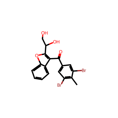 Cc1c(Br)cc(C(=O)c2c(C(O)CO)oc3ccccc23)cc1Br